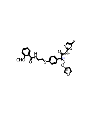 O=Cc1ccccc1C(=O)NCCSc1ccc(/C(=N\O[C@@H]2CCOC2)C(=O)Nc2ncc(F)s2)cc1